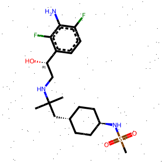 CC(C)(C[C@H]1CC[C@H](NS(C)(=O)=O)CC1)NC[C@H](O)c1ccc(F)c(N)c1F